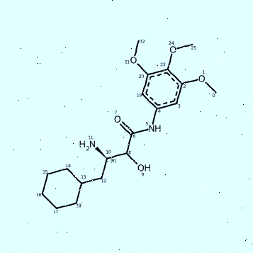 COc1cc(NC(=O)C(O)[C@H](N)CC2CCCCC2)cc(OC)c1OC